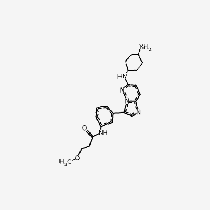 COCCC(=O)Nc1cccc(-c2cnc3ccc(N[C@H]4CC[C@H](N)CC4)nn23)c1